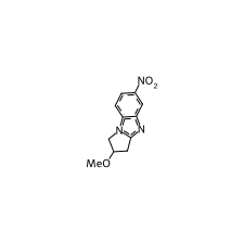 COC1Cc2nc3cc([N+](=O)[O-])ccc3n2C1